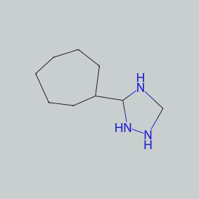 C1CCCC(C2NCNN2)CC1